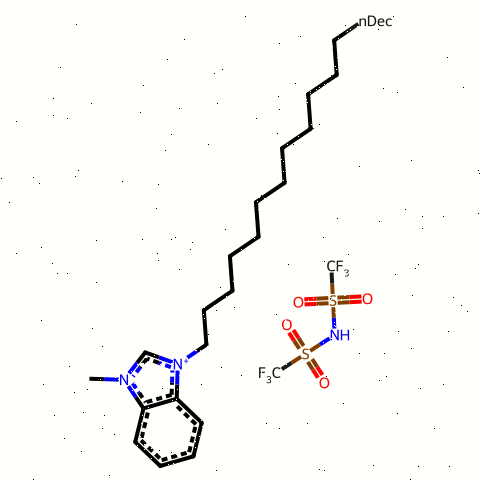 CCCCCCCCCCCCCCCCCCCCCC[n+]1cn(C)c2ccccc21.O=S(=O)(NS(=O)(=O)C(F)(F)F)C(F)(F)F